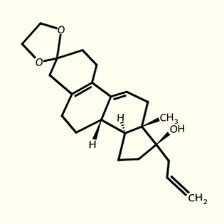 C=CC[C@]1(O)CC[C@H]2[C@@H]3CCC4=C(CCC5(C4)OCCO5)C3=CC[C@@]21C